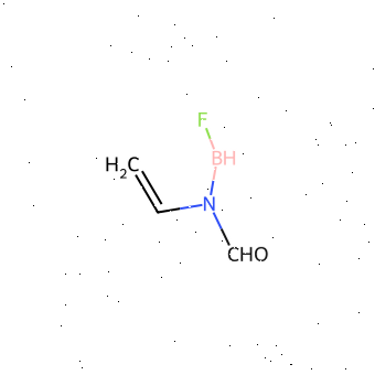 C=CN(BF)C=O